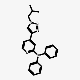 CC(C)Cn1cc(-c2ccnc(P(c3ccccc3)c3ccccc3)c2)nn1